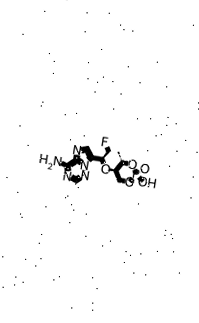 C[C@@H]1OP(=O)(O)OC[C@H]1O[C@H](CF)c1cnc2c(N)ncnn12